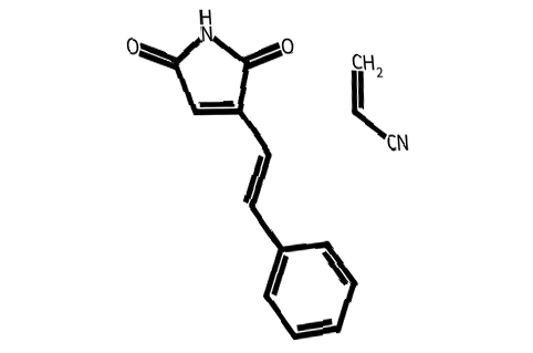 C=CC#N.O=C1C=C(C=Cc2ccccc2)C(=O)N1